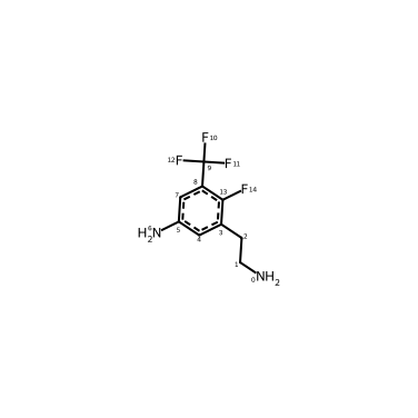 NCCc1cc(N)cc(C(F)(F)F)c1F